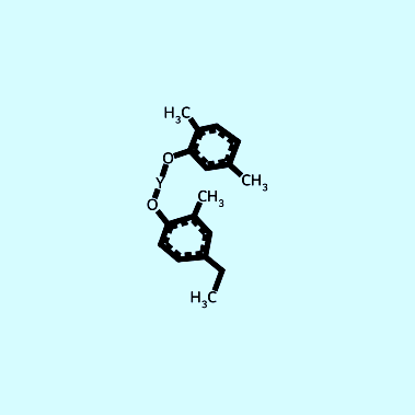 CCc1ccc([O][Y][O]c2cc(C)ccc2C)c(C)c1